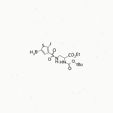 Bc1cc(S(=O)(=O)NCC(NC(=O)OC(C)(C)C)C(=O)OCC)c(I)s1